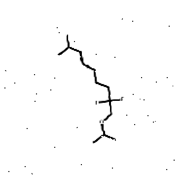 CC(C)CCCCCC(F)(F)COC(C)C